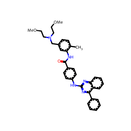 COCCN(CCOC)Cc1ccc(C)c(NC(=O)c2ccc(Nc3nc(-c4ccccc4)c4ccccc4n3)cc2)c1